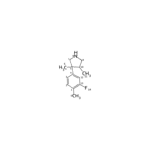 Cc1ccc(C2(C)CNCC2C)cc1F